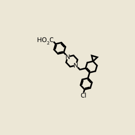 O=C(O)c1ccc(N2CCN(CC3=C(c4ccc(Cl)cc4)CCC4(CC4)C3)CC2)cc1